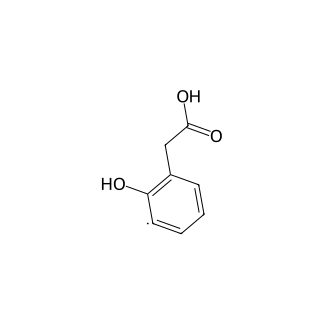 O=C(O)Cc1ccc[c]c1O